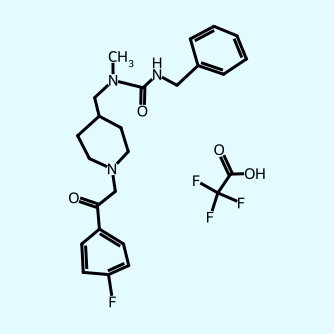 CN(CC1CCN(CC(=O)c2ccc(F)cc2)CC1)C(=O)NCc1ccccc1.O=C(O)C(F)(F)F